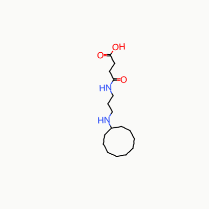 O=C(O)CCC(=O)NCCCNC1CCCCCCCCC1